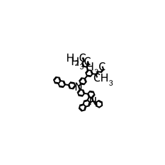 C=C/C=C\C(=C/C)c1cc(/C(C)=C/C=C\C)cc(-c2ccc(N(c3ccc(-c4ccc5ccccc5c4)cc3)c3cccc(-c4cccc5c4c4cc6ccccc6cc4n5C4=CCCC=C4)c3)cc2)c1